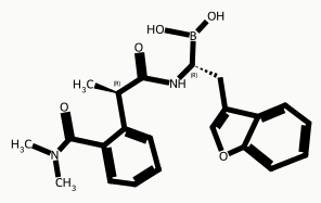 C[C@@H](C(=O)N[C@@H](Cc1coc2ccccc12)B(O)O)c1ccccc1C(=O)N(C)C